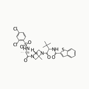 C[C@H](NS(=O)(=O)c1ccc(Cl)cc1Cl)C(=O)N1CC2(C)[C@H]1CN2C(=O)C(NC(=O)c1cc2ccccc2s1)C(C)(C)C